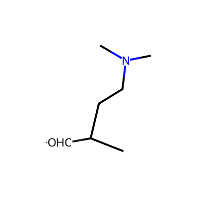 CC([C]=O)CCN(C)C